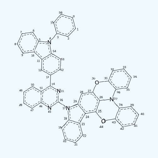 c1ccc(-n2c3ccccc3c3cc(-c4nc(-n5c6ccccc6c6c7c8c(cc65)Oc5ccccc5N8c5ccccc5O7)nc5ccccc45)ccc32)cc1